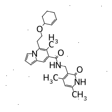 Cc1cc(C)c(CNC(=O)c2cc3cccn3c(CCOC3C=CCCC3)c2C)c(=O)[nH]1